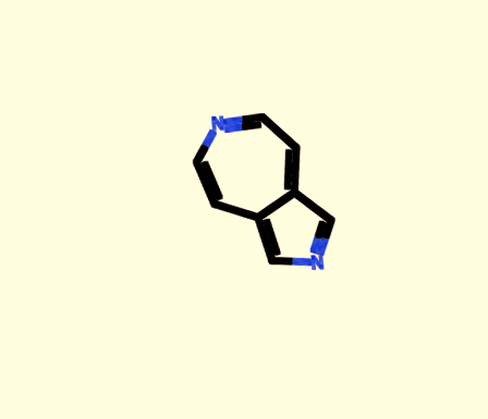 c1cc2cncc-2ccn1